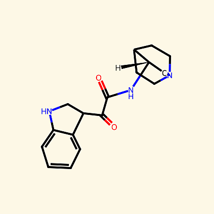 O=C(N[C@H]1CN2CCC1CC2)C(=O)C1CNc2ccccc21